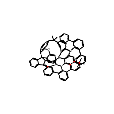 CC(C)(C)c1cc2c3c(c1)N(c1c(-c4ccccc4)cccc1-c1ccccc1)c1cc4c5cc1B3c1cc(ccc1N2c1c(-c2ccccc2)cccc1-c1ccccc1)C(C)(C)c1ccc2c(c1)Oc1ccccc1C25c1ccccc1-4